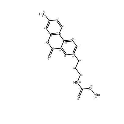 Cc1ccc2c(c1)oc(=O)c1cc(CCCNC(=O)OC(C)(C)C)ccc12